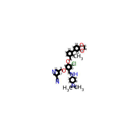 Cc1c(COc2cc(OCc3cncc(C#N)c3)c(CNC3CCC(N(C)C)CC3)cc2Cl)cccc1-c1ccc2c(c1)OCCO2